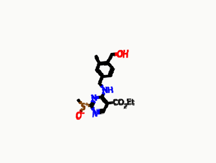 CCOC(=O)c1cnc([S+](C)[O-])nc1NCc1ccc(CO)c(C)c1